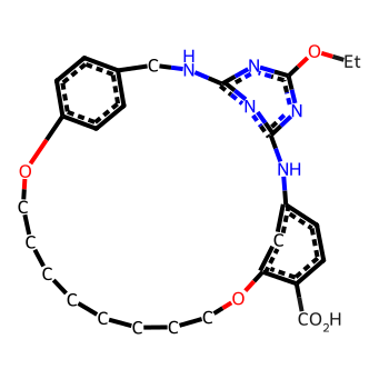 CCOc1nc2nc(n1)Nc1ccc(C(=O)O)c(c1)OCCCCCCCCOc1ccc(cc1)CN2